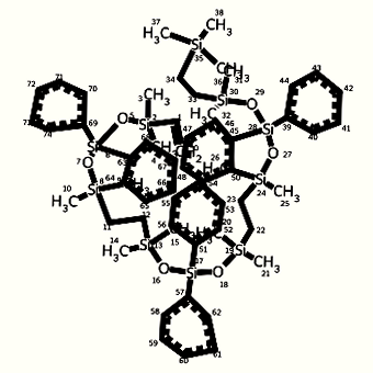 C=C[Si](C)(C)O[Si](O[Si](C)(C)CC[Si](C)(C)O[Si](O[Si](C)(C)CC[Si](C)(C)O[Si](O[Si](C)(C)CC[Si](C)(C)C)(c1ccccc1)c1ccccc1)(c1ccccc1)c1ccccc1)(c1ccccc1)c1ccccc1